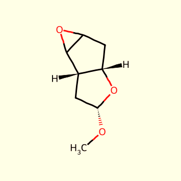 CO[C@@H]1C[C@@H]2C3OC3C[C@@H]2O1